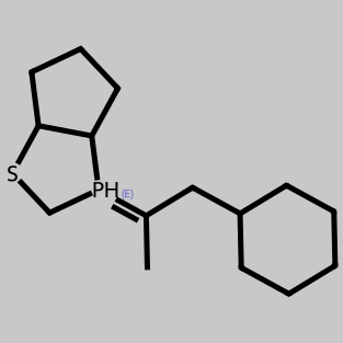 C/C(CC1CCCCC1)=[PH]1\CSC2CCCC21